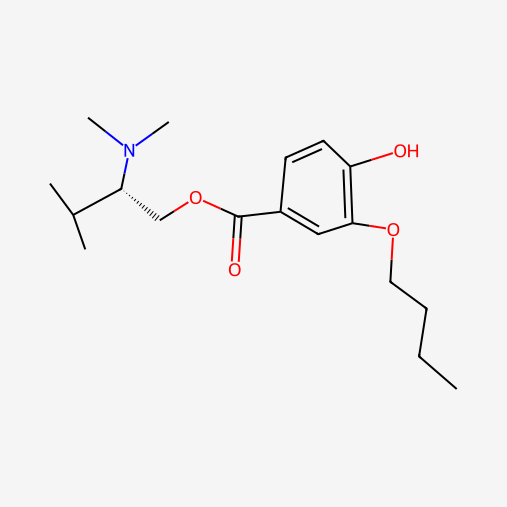 CCCCOc1cc(C(=O)OC[C@H](C(C)C)N(C)C)ccc1O